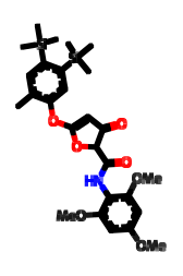 COc1cc(OC)c(NC(=O)C2OC(Oc3cc([Si](C)(C)C)c([Si](C)(C)C)cc3C)=CC2=O)c(OC)c1